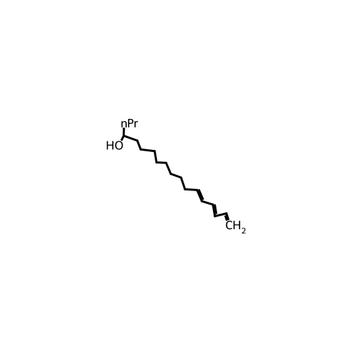 C=C/C=C/C=C/CCCCCCCCC(O)CCC